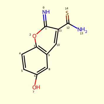 N=c1oc2ccc(O)cc2cc1C(N)=S